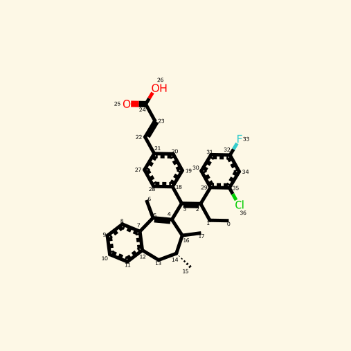 CC/C(=C(\C1=C(C)c2ccccc2C[C@@H](C)C1C)c1ccc(/C=C/C(=O)O)cc1)c1ccc(F)cc1Cl